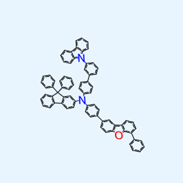 c1ccc(-c2cccc3c2oc2ccc(-c4ccc(N(c5ccc(-c6cccc(-n7c8ccccc8c8ccccc87)c6)cc5)c5ccc6c(c5)C(c5ccccc5)(c5ccccc5)c5ccccc5-6)cc4)cc23)cc1